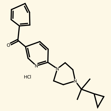 CC(C)(C1CC1)N1CCN(c2ccc(C(=O)c3ccccc3)cn2)CC1.Cl